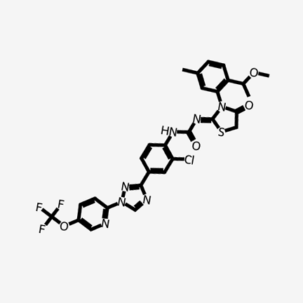 COC(C)c1ccc(C)cc1N1C(=O)CSC1=NC(=O)Nc1ccc(-c2ncn(-c3ccc(OC(F)(F)F)cn3)n2)cc1Cl